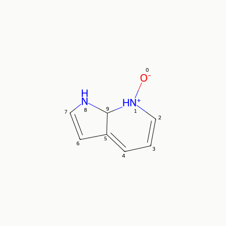 [O-][NH+]1C=CC=C2C=CNC21